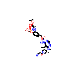 C=Cc1c(NC(=O)OCc2ccc(OP(=O)(COC)N[C@@H](C)C(=O)OC(C)C)cc2)ncnc1N(C)[C@@H]1CCN(C(=O)CC#N)C[C@@H]1C